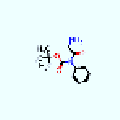 CC(C)(C)OC(=O)N(C(=O)CN)c1ccccc1